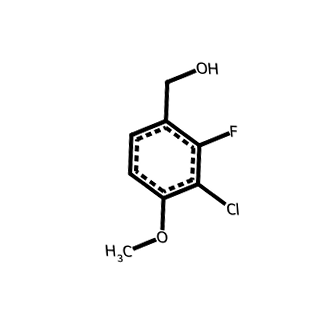 COc1ccc(CO)c(F)c1Cl